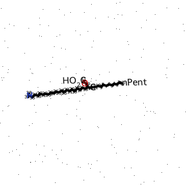 CCCCCC=CCC=CCCCCCCCCC(CCCCCCCCC=CCC=CCCCCCCCCN(C)C)COC(=O)O